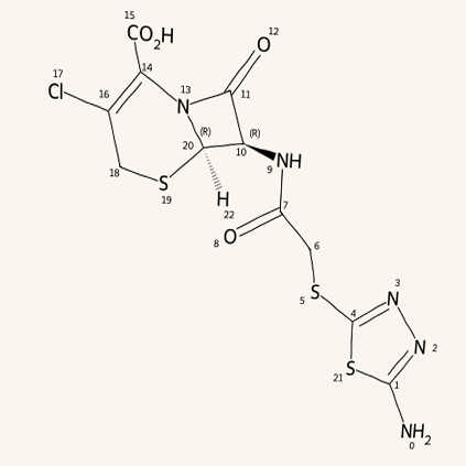 Nc1nnc(SCC(=O)N[C@@H]2C(=O)N3C(C(=O)O)=C(Cl)CS[C@H]23)s1